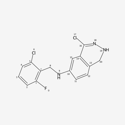 Fc1cccc(Cl)c1CNc1ccc2c(c1)C(Cl)=NNC2